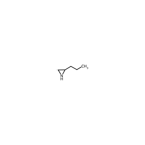 CCCC1[CH]N1